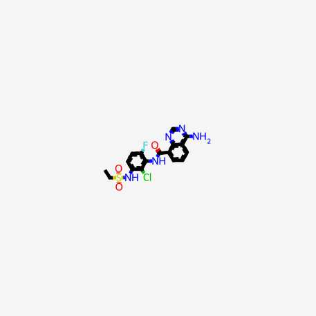 CCS(=O)(=O)Nc1ccc(F)c(NC(=O)c2cccc3c(N)ncnc23)c1Cl